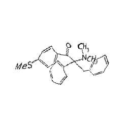 CSc1ccc(C(=O)C(Cc2ccccc2)(c2ccccc2)N(C)C)cc1